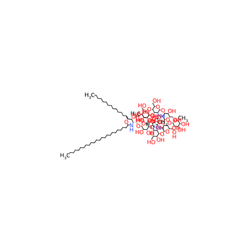 CCCCCCCCCCCCC/C=C/[C@@H](O)[C@H](CO[C@@H]1OC(CO)[C@@H](O[C@@H]2OC(CO)[C@H](O)[C@H](O[C@@H]3OC(CO)[C@@H](O[C@H]4OC(C)[C@@H](O)C(O)[C@@H]4O)[C@H](O[C@@H]4OC(CO)[C@H](O)[C@H](O[C@@H]5OC(CO)[C@@H](O[C@H]6OC(C)[C@@H](O)C(O)[C@@H]6O)[C@H](O[C@@H]6OC(CO)[C@H](O)[C@H](O)C6O)C5NC(C)=O)C4O)C3NC(C)=O)C2O)[C@H](O)C1O)NC(=O)CCCCCCCCCCCCCCCCCCCCCCC